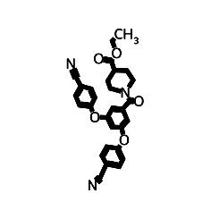 CCOC(=O)C1CCN(C(=O)c2cc(Oc3ccc(C#N)cc3)cc(Oc3ccc(C#N)cc3)c2)CC1